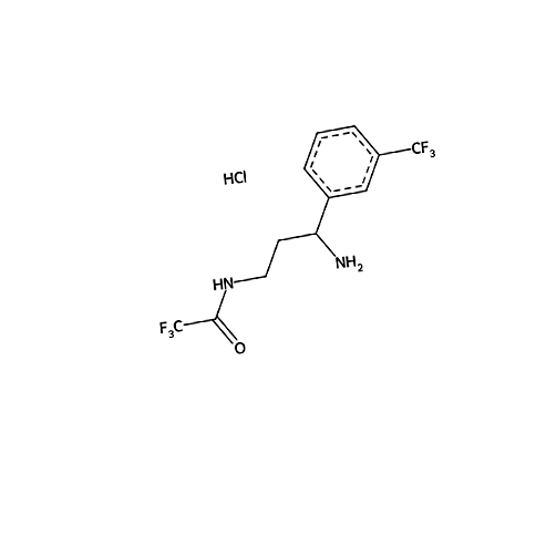 Cl.NC(CCNC(=O)C(F)(F)F)c1cccc(C(F)(F)F)c1